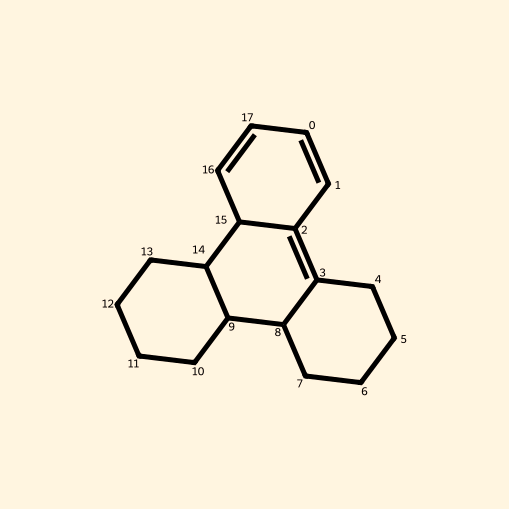 C1=CC2=C3CCCCC3C3CCCCC3C2C=C1